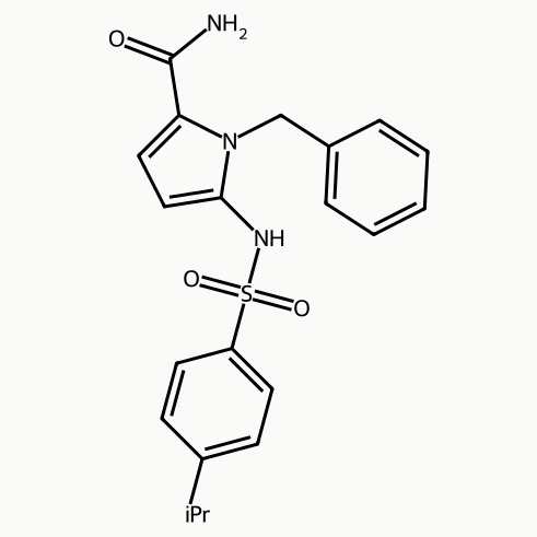 CC(C)c1ccc(S(=O)(=O)Nc2ccc(C(N)=O)n2Cc2ccccc2)cc1